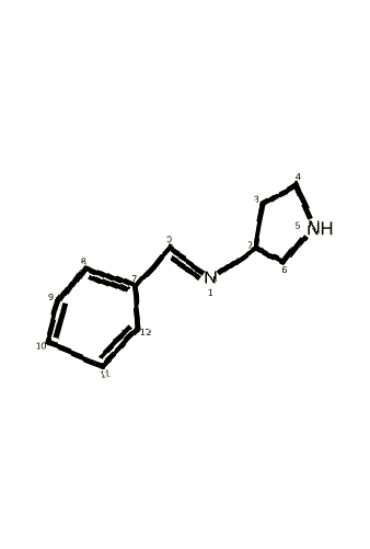 C(=N\C1CCNC1)/c1ccccc1